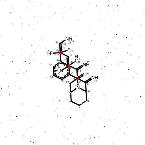 Cc1c(C(=O)N2C3CCCC2C(=N)N(C(=N)/C(N)=C/C=C\N)C3)cccc1C(F)(F)F